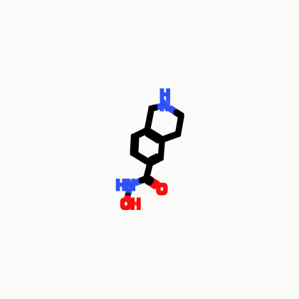 O=C(NO)c1ccc2c(c1)CCNC2